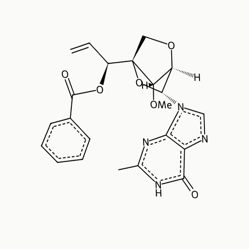 C=C[C@H](OC(=O)c1ccccc1)[C@@]12CO[C@@H]([C@H](n3cnc4c(=O)[nH]c(C)nc43)O1)[C@@H]2OC